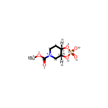 CC(C)(C)OC(=O)N1CC[C@@H]2OS(=O)(=O)O[C@@H]2C1